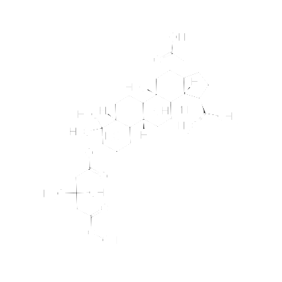 C=C(C)[C@@H]1CC[C@]2(CC(=O)O)CC[C@]3(C)[C@H](CC[C@@H]4[C@@]5(C)CC[C@H](OC(=O)CC(C)(C)CC(=O)OC)C(C)(C)[C@@H]5CC[C@]43C)[C@@H]12